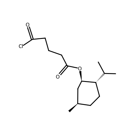 CC(C)[C@@H]1CC[C@@H](C)C[C@H]1OC(=O)CCCC(=O)Cl